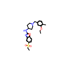 CCOc1cc(CN2CCC(Nc3nc4cc(S(=O)(=O)CC)ccc4o3)CC2)ccc1C